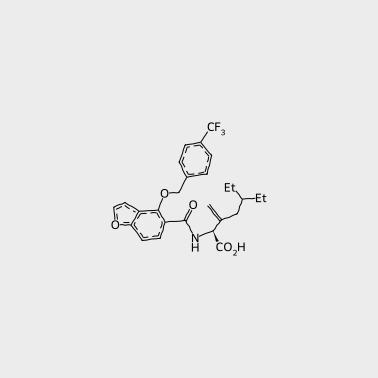 C=C(CC(CC)CC)[C@H](NC(=O)c1ccc2occc2c1OCc1ccc(C(F)(F)F)cc1)C(=O)O